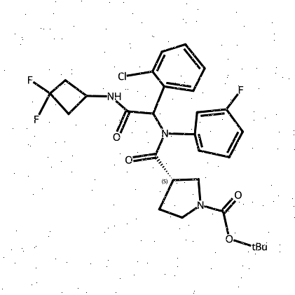 CC(C)(C)OC(=O)N1CC[C@H](C(=O)N(c2cccc(F)c2)C(C(=O)NC2CC(F)(F)C2)c2ccccc2Cl)C1